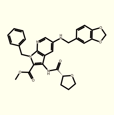 COC(=O)c1c(NC(=O)[C@H]2CCCO2)c2cc(NCc3ccc4c(c3)OCO4)cnc2n1Cc1ccccc1